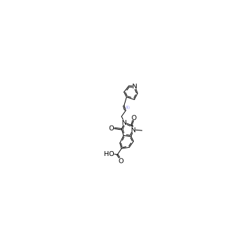 Cn1c(=O)n(C/C=C/c2ccncc2)c(=O)c2cc(C(=O)O)ccc21